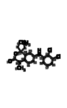 CCC1(CC)OC(=O)N(C)c2ccc(Nc3cccc(Cl)c3Cl)cc21